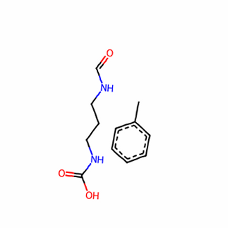 Cc1ccccc1.O=CNCCCNC(=O)O